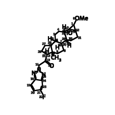 COC1C2[C@@H]3CC[C@@H]4[C@H](CC[C@]5(C)[C@@H](C(=O)Cn6nc7ccc(F)cc7n6)CC[C@@H]45)[C@H]3CC[C@]12O